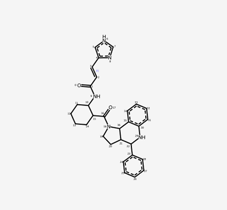 O=C(/C=C/c1c[nH]cn1)NC1CCCCC1C(=O)N1CCC2C(c3ccccc3)Nc3ccccc3C21